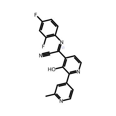 Cc1cc(-c2nccc(/C(C#N)=N/c3ccc(F)cc3F)c2O)ccn1